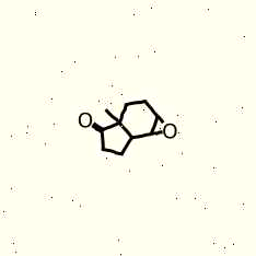 CC12CCC3OC3C1CCC2=O